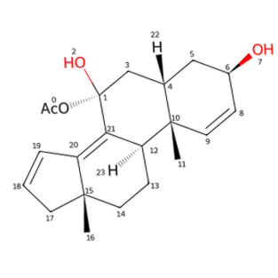 CC(=O)O[C@]1(O)C[C@@H]2C[C@@H](O)C=C[C@]2(C)[C@H]2CC[C@]3(C)CC=CC3=C21